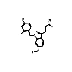 O=C(O)C=Cc1nn(Cc2ccc(F)cc2Cl)c2cc(CF)ccc12